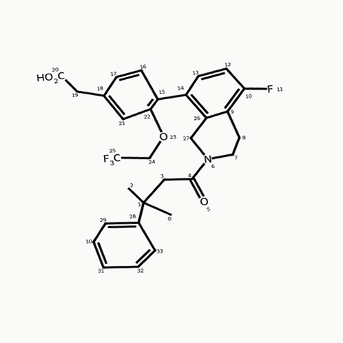 CC(C)(CC(=O)N1CCc2c(F)ccc(-c3ccc(CC(=O)O)cc3OCC(F)(F)F)c2C1)c1ccccc1